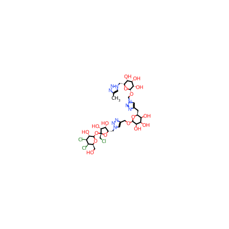 Cc1cn(C[C@H]2O[C@@H](OCn3cc(C[C@@H]4O[C@H](OCc5cn(C[C@@H]6O[C@](CCl)(O[C@H]7O[C@@H](CO)[C@@H](Cl)[C@@H](Cl)[C@@H]7O)[C@H](O)[C@@H]6O)nn5)[C@H](O)[C@H](O)[C@@H]4O)nn3)[C@@H](O)[C@@H](O)[C@H]2O)nn1